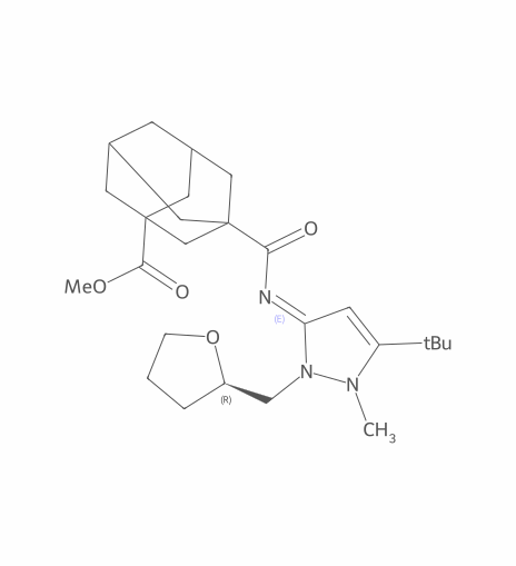 COC(=O)C12CC3CC(CC(C(=O)/N=c4\cc(C(C)(C)C)n(C)n4C[C@H]4CCCO4)(C3)C1)C2